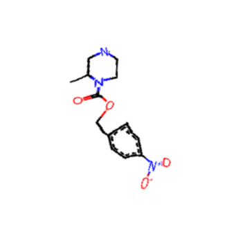 CC1C[N]CCN1C(=O)OCc1ccc([N+](=O)[O-])cc1